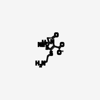 NCCSC1=C(C(=O)[O-])N2C(=O)C[C@H]2S1.[Na+]